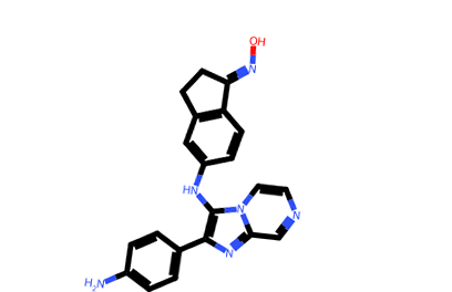 Nc1ccc(-c2nc3cnccn3c2Nc2ccc3c(c2)CCC3=NO)cc1